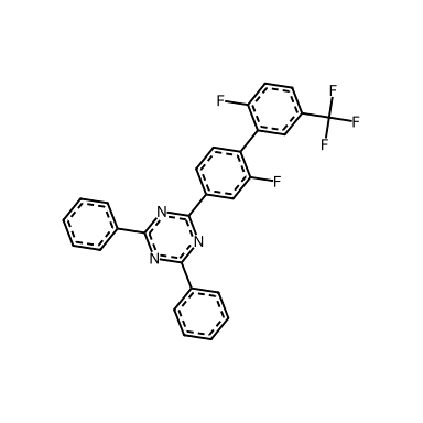 Fc1cc(-c2nc(-c3ccccc3)nc(-c3ccccc3)n2)ccc1-c1cc(C(F)(F)F)ccc1F